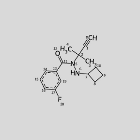 C#CC(C)(C)N(NC1CCC1)C(=O)c1cccc(F)c1